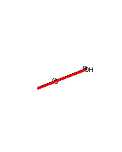 CCCCCCC=CCCCCCCCCCCCC(=O)OCCCCCCCCCCCCCCCCCCCCCCCCCCCCCCCCC(=O)O